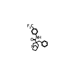 O=C(Nc1ccc(C(F)(F)F)cc1)C1(Cc2ccccc2)CC2CCN(C2)C1